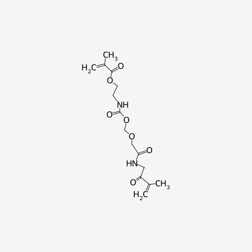 C=C(C)C(=O)CNC(=O)COCOC(=O)NCCOC(=O)C(=C)C